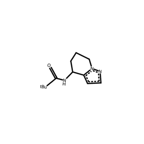 CC(C)(C)C(=O)NC1CCCn2nccc21